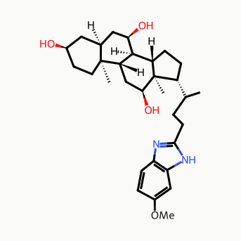 COc1ccc2nc(CCC(C)[C@H]3CC[C@H]4[C@@H]5[C@H](O)C[C@@H]6C[C@H](O)CC[C@]6(C)[C@H]5C[C@H](O)[C@]34C)[nH]c2c1